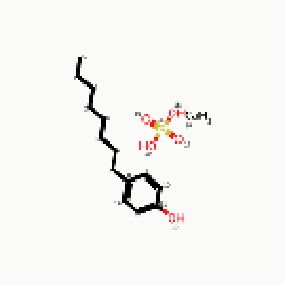 CCCCCCCCc1ccc(O)cc1.O=S(=O)(O)O.[CaH2]